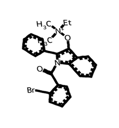 CC[N+](C)(C)Oc1c(-c2ccccc2)n(C(=O)c2ccccc2Br)c2ccccc12